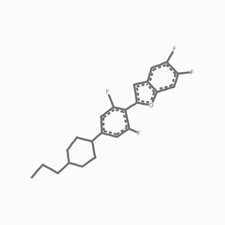 CCCC1CCC(c2cc(F)c(-c3cc4cc(F)c(F)cc4o3)c(F)c2)CC1